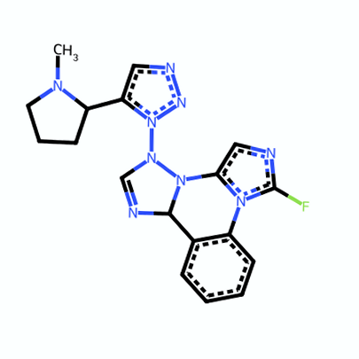 CN1CCCC1c1cnnn1N1C=NC2c3ccccc3-n3c(cnc3F)N21